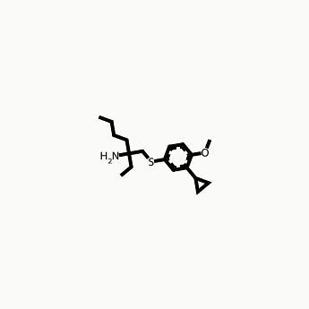 CCCCC(N)(CC)CSc1ccc(OC)c(C2CC2)c1